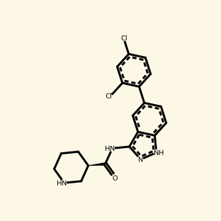 O=C(Nc1n[nH]c2ccc(-c3ccc(Cl)cc3Cl)cc12)[C@@H]1CCCNC1